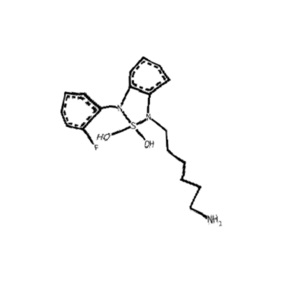 NCCCCCCN1c2ccccc2N(c2ccccc2F)S1(O)O